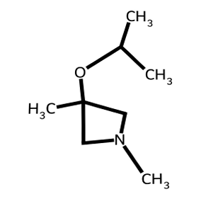 CC(C)OC1(C)CN(C)C1